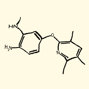 CNc1cc(Oc2nc(C)c(C)cc2C)ccc1N